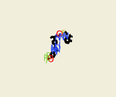 CCC(CNC(=O)/N=C1\SCCN1c1cccc(C)c1C(C)C)c1ccc(-c2ncn(-c3ccc(OC(F)(F)F)cc3)n2)cc1